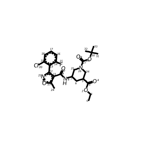 CCOC(=O)C1CC(NC(=O)c2c(-c3c(F)cccc3Cl)noc2C)CN(C(=O)OC(C)(C)C)C1